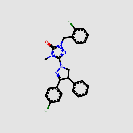 Cn1c(N2CC(c3ccccc3)C(c3ccc(Cl)cc3)=N2)nn(Cc2ccccc2Cl)c1=O